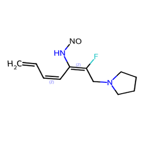 C=C/C=C\C(NN=O)=C(\F)CN1CCCC1